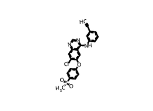 C#Cc1cccc(Nc2ncnc3cc(Cl)c(Oc4ccc(S(C)(=O)=O)cc4)cc23)c1